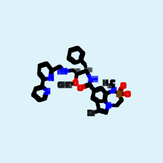 CCc1cn2c3c(cc(C(=O)N[C@@H](Cc4ccccc4)[C@@H](CNCc4cccc(-c5ccccn5)n4)OC=O)cc13)N(C)S(=O)(=O)CC2